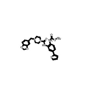 CC(C)(C)OC(=O)Nc1ccc(-c2cccs2)cc1NC(=O)N1CCN(Cc2ccc3c(c2)OCO3)CC1